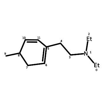 CCN(CC)CCC1=CCC(C)C=C1